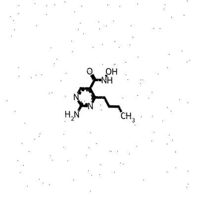 CCCCc1nc(N)ncc1C(=O)NO